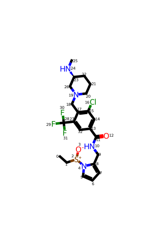 CC[S+]([O-])n1cccc1CNC(=O)c1cc(Cl)c(CN2CCC[C@H](NC)C2)c(C(F)(F)F)c1